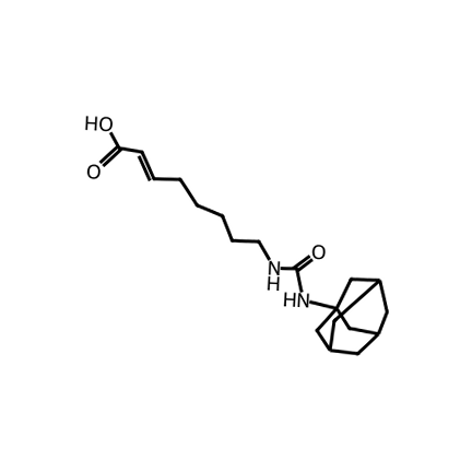 O=C(O)C=CCCCCCNC(=O)NC12CC3CC(CC(C3)C1)C2